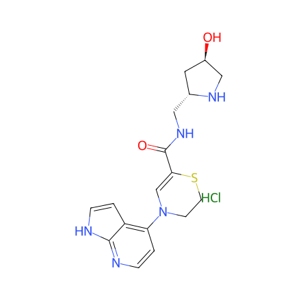 Cl.O=C(NC[C@@H]1C[C@@H](O)CN1)C1=CN(c2ccnc3[nH]ccc23)CCS1